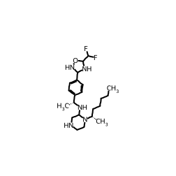 CCCCC[C@H](C)N1CCNCC1N[C@H](C)c1ccc(C2NOC(C(F)F)N2)cc1